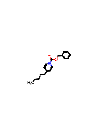 CCCCCC1C=CN(C(=O)OCc2ccccc2)C=C1